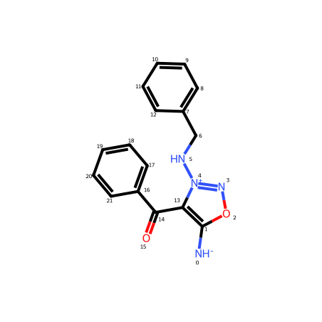 [NH-]c1on[n+](NCc2ccccc2)c1C(=O)c1ccccc1